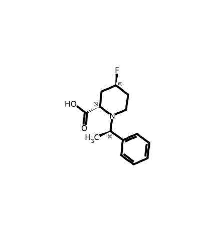 C[C@H](c1ccccc1)N1CC[C@H](F)C[C@H]1C(=O)O